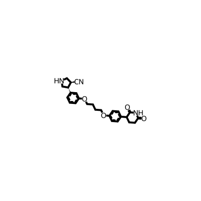 N#C[C@@H]1CNC[C@H]1c1cccc(OCCCCOc2ccc(C3CCC(=O)NC3=O)cc2)c1